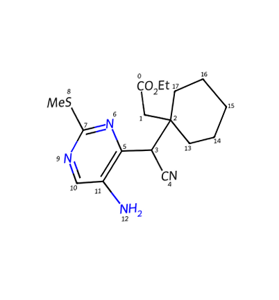 CCOC(=O)CC1(C(C#N)c2nc(SC)ncc2N)CCCCC1